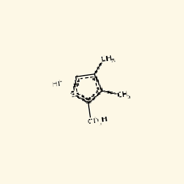 Cc1csc(C(=O)O)c1C.Cl